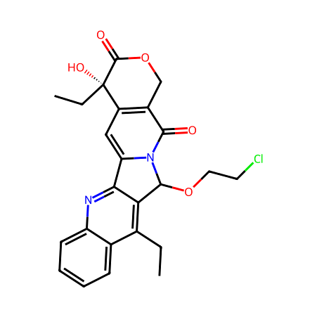 CCc1c2c(nc3ccccc13)-c1cc3c(c(=O)n1C2OCCCl)COC(=O)[C@]3(O)CC